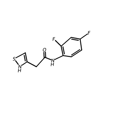 O=C(Cc1cs[nH]1)Nc1ccc(F)cc1F